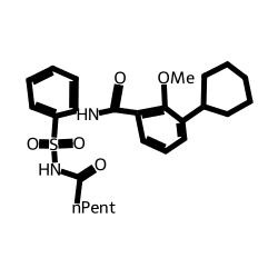 CCCCCC(=O)NS(=O)(=O)c1ccccc1NC(=O)c1cccc(C2CCCCC2)c1OC